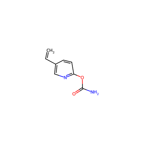 C=Cc1ccc(OC(N)=O)nc1